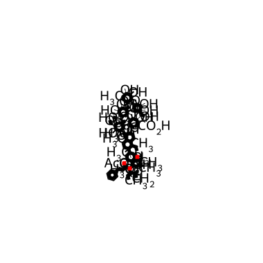 C=C(O[C@H]1C(OC(=O)/C=C/c2ccccc2)C23[C@H](O)O[C@@]4(CCC5[C@@]6(C)CC[C@H](O[C@@H]7O[C@H](C(=O)O)[C@@H](O)[C@H](O[C@@H]8O[C@H](CO)[C@H](O)[C@H](O)C8O[C@@H]8O[C@@H](C)[C@H](O)[C@@H](O)[C@H]8O[C@@H]8OC[C@](O)(CO)[C@H]8O)[C@H]7OC7O[C@H](CO)[C@H](O)[C@H](O)[C@H]7O)C(C)(C)C6CC[C@@]5(C)[C@]4(C)C[C@H]2OC(C)=O)[C@@H]3CC1(C)C)/C(C)=C\C